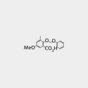 COc1cc(C)c(OCOc2ccccc2)c(C(=O)O)c1